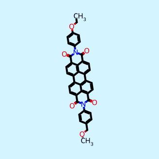 CCOc1ccc(N2C(=O)c3ccc4c5ccc6c7c(ccc(c8ccc(c3c48)C2=O)c75)C(=O)N(c2ccc(COC)cc2)C6=O)cc1